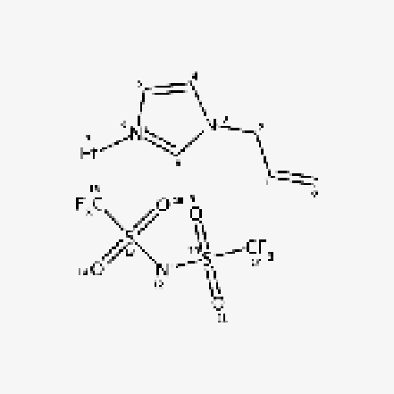 C=CCn1cc[n+](CC)c1.O=S(=O)([N-]S(=O)(=O)C(F)(F)F)C(F)(F)F